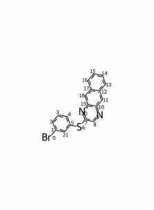 Brc1cccc(Sc2cnc3cc4ccccc4cc3n2)c1